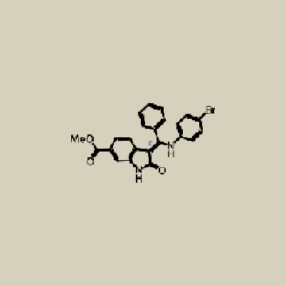 COC(=O)c1ccc2c(c1)NC(=O)/C2=C(\Nc1ccc(Br)cc1)c1ccccc1